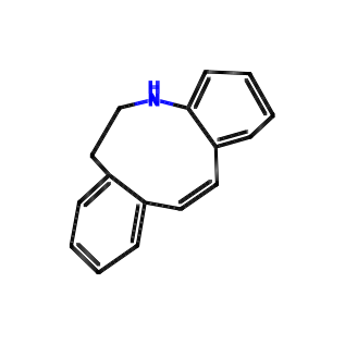 C1=C\c2ccccc2NCCc2ccccc2/1